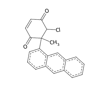 CC1(c2cccc3cc4ccccc4cc23)C(=O)C=CC(=O)C1Cl